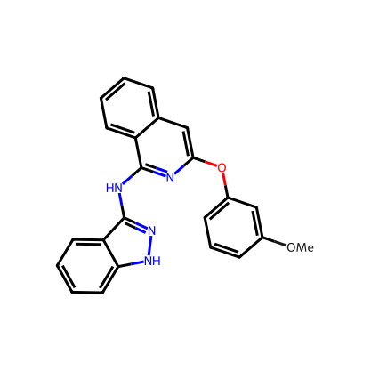 COc1cccc(Oc2cc3ccccc3c(Nc3n[nH]c4ccccc34)n2)c1